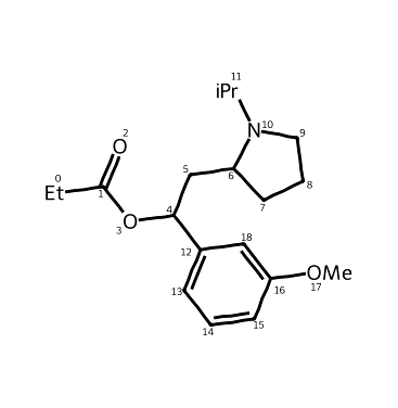 CCC(=O)OC(CC1CCCN1C(C)C)c1cccc(OC)c1